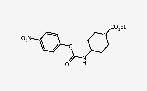 CCOC(=O)N1CCC(NC(=O)Oc2ccc([N+](=O)[O-])cc2)CC1